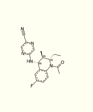 CC[C@H]1[C@H](C)[C@@H](Nc2cnc(C#N)cn2)c2cc(F)ccc2N1C(C)=O